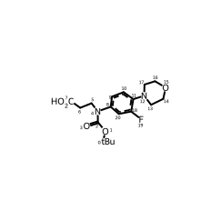 CC(C)(C)OC(=O)N(CCC(=O)O)c1ccc(N2CCOCC2)c(F)c1